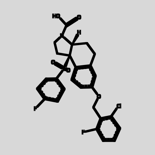 O=C(O)N1CC[C@@]2(S(=O)(=O)c3ccc(F)cc3)c3ccc(OCc4c(F)cccc4Cl)cc3CC[C@@H]12